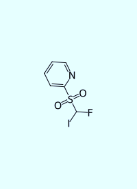 O=S(=O)(c1ccccn1)C(F)I